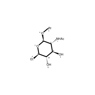 CC[C@H]1O[C@@H](OC(C)C)[C@H](NC(C)=O)[C@@H](O)[C@@H]1O